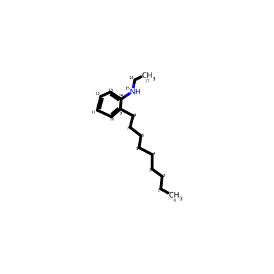 CCCCCCCCCc1ccccc1NCC